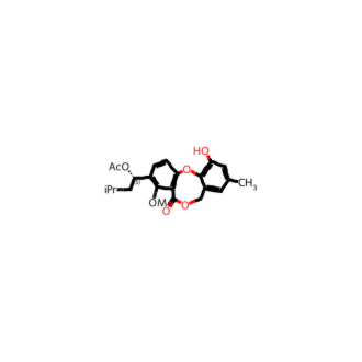 COc1c([C@H](CC(C)C)OC(C)=O)ccc2c1C(=O)OCc1cc(C)cc(O)c1O2